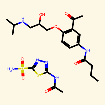 CC(=O)Nc1nnc(S(N)(=O)=O)s1.CCCC(=O)Nc1ccc(OCC(O)CNC(C)C)c(C(C)=O)c1